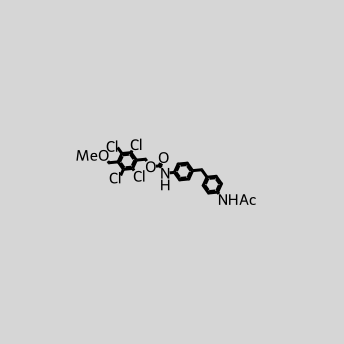 COCc1c(Cl)c(Cl)c(COC(=O)Nc2ccc(Cc3ccc(NC(C)=O)cc3)cc2)c(Cl)c1Cl